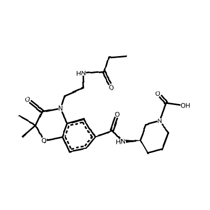 CCC(=O)NCCN1C(=O)C(C)(C)Oc2ccc(C(=O)N[C@@H]3CCCN(C(=O)O)C3)cc21